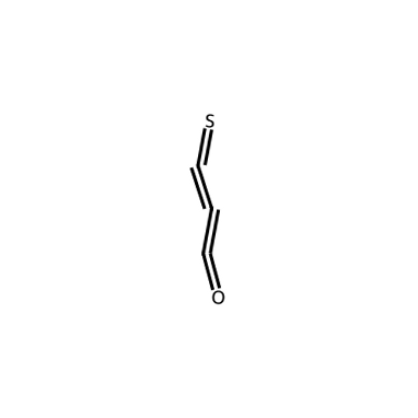 O=C=C=C=S